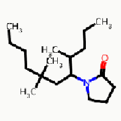 CCCCC(C)(C)CC(C(C)CCC)N1CCCC1=O